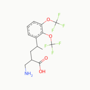 CC(CC(CN)C(=O)O)c1cccc(OC(F)(F)F)c1OC(F)(F)F